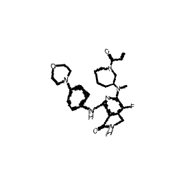 C=CC(=O)N1CCCCC(N(C)c2nc(Nc3ccc(N4CCOCC4)cc3)c3c(c2F)CNC3=O)C1